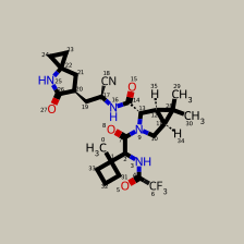 CC1(C(NC(=O)C(F)(F)F)C(=O)N2C[C@H]3[C@@H]([C@H]2C(=O)N[C@H](C#N)C[C@@H]2CC4(CC4)NC2=O)C3(C)C)CCC1